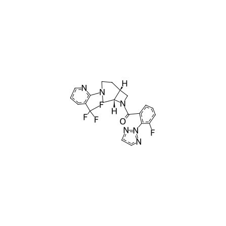 O=C(c1cccc(F)c1-n1nccn1)N1C[C@H]2CCN(c3ncccc3C(F)(F)F)C[C@H]21